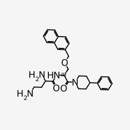 NCCC(N)C(=O)N[C@@H](COCc1ccc2ccccc2c1)C(=O)N1CCC(c2ccccc2)CC1